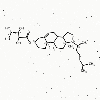 CC(C)CCC[C@H](C)[C@H]1CCC2C3CC=C4C[C@@H](OC(=O)C(O)[C@H](O)C(O)O)CC[C@]4(C)C3CC[C@@]21C